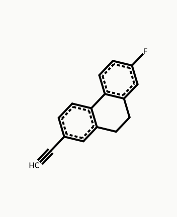 C#Cc1ccc2c(c1)CCc1cc(F)ccc1-2